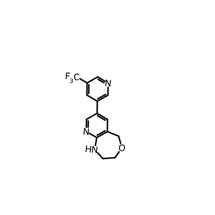 FC(F)(F)c1cncc(-c2cnc3c(c2)COCCN3)c1